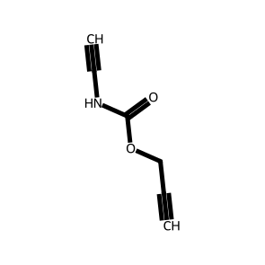 C#CCOC(=O)NC#C